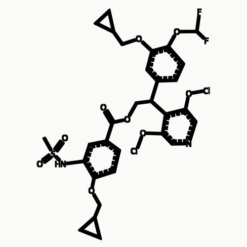 CS(=O)(=O)Nc1cc(C(=O)OCC(c2ccc(OC(F)F)c(OCC3CC3)c2)c2c(OCl)cncc2OCl)ccc1OCC1CC1